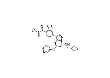 Cc1cc(-c2cnn3c(NCC4COC4)cc(Oc4cccnc4)nc23)ccc1C(=O)NC1CC1